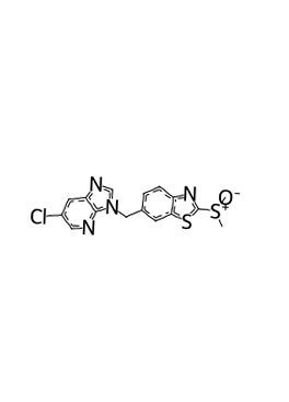 C[S+]([O-])c1nc2ccc(Cn3cnc4cc(Cl)cnc43)cc2s1